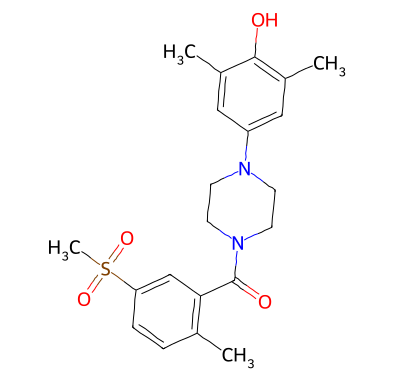 Cc1ccc(S(C)(=O)=O)cc1C(=O)N1CCN(c2cc(C)c(O)c(C)c2)CC1